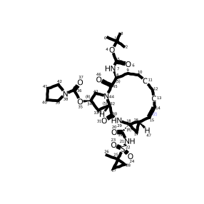 CC(C)(C)OC(=O)N[C@H]1CCCCC/C=C\[C@@H]2C[C@@]2(C(=O)NS(=O)(=O)C2(C)CC2)NC(=O)[C@@H]2C[C@@H](OC(=O)N3CCCC3)CN2C1=O